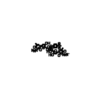 Cc1cn([C@H]2C[C@H](O)[C@@H](C(O)OP(=O)(Oc3ccc(S(C)(=O)=O)cc3)OC(O)[C@H]3O[C@@H](n4cc(C)c(=O)n(N=[N+]=[N-])c4=O)C[C@@H]3O)O2)c(=O)n(N=[N+]=[N-])c1=O